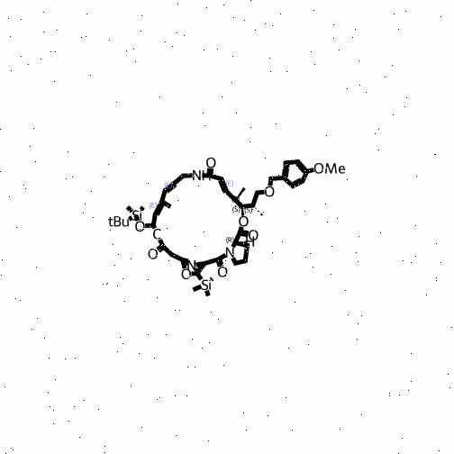 COc1ccc(COC[C@H](C)[C@H]2OC(=O)[C@H]3CCCN3C(=O)c3nc(oc3[Si](C)(C)C)CC(=O)CC(O[Si](C)(C)C(C)(C)C)/C=C(C)/C=C/CNC(=O)/C=C/[C@H]2C)cc1